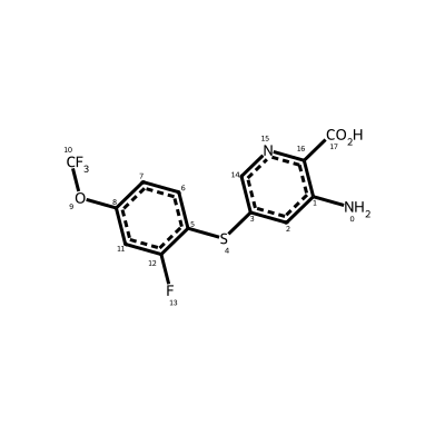 Nc1cc(Sc2ccc(OC(F)(F)F)cc2F)cnc1C(=O)O